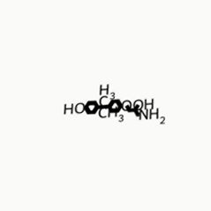 CC(C)(c1ccc(O)cc1)c1ccc(OCC(O)CN)cc1